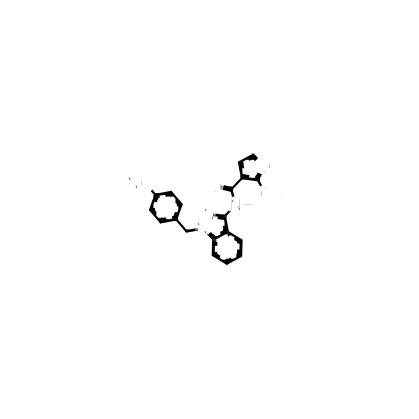 Cc1occc1C(=O)Nc1nn(Cc2ccc(C#N)cc2)c2ccccc12